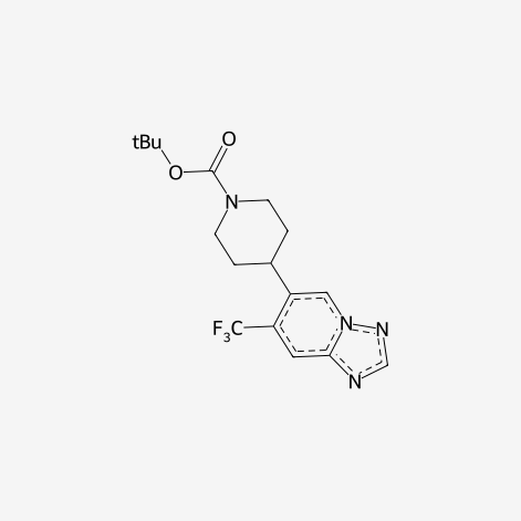 CC(C)(C)OC(=O)N1CCC(c2cn3ncnc3cc2C(F)(F)F)CC1